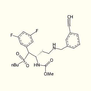 C#Cc1cccc(CNC[CH][C@H](NC(=O)OC)C(c2cc(F)cc(F)c2)S(=O)(=O)CCCC)c1